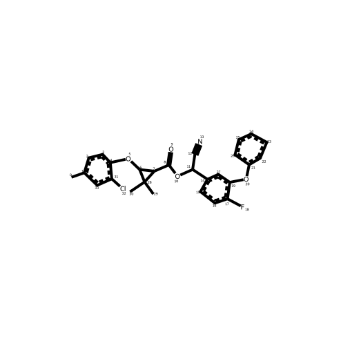 Cc1ccc(OC2C(C(=O)OC(C#N)c3ccc(F)c(Oc4ccccc4)c3)C2(C)C)c(Cl)c1